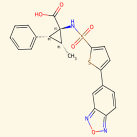 C[C@@H]1[C@H](c2ccccc2)[C@]1(NS(=O)(=O)c1ccc(-c2ccc3nonc3c2)s1)C(=O)O